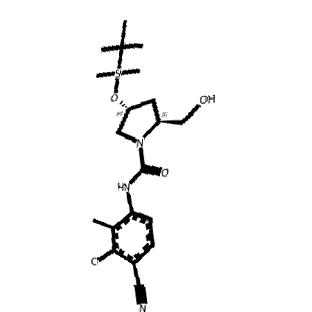 Cc1c(NC(=O)N2C[C@H](O[Si](C)(C)C(C)(C)C)C[C@H]2CO)ccc(C#N)c1Cl